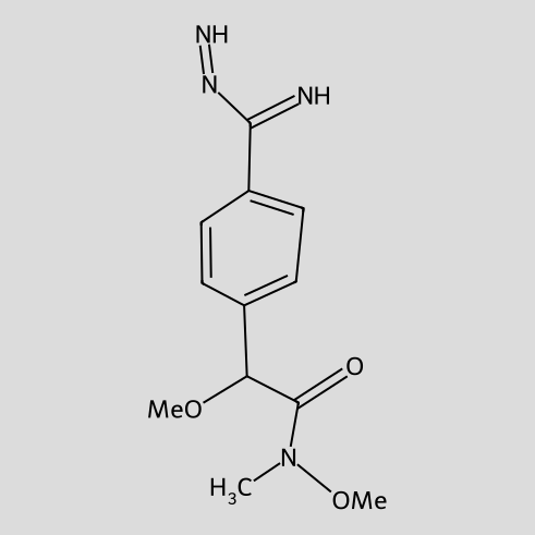 COC(C(=O)N(C)OC)c1ccc(C(=N)N=N)cc1